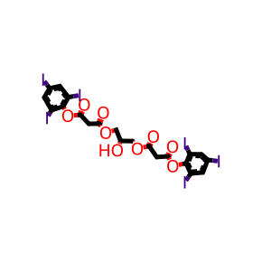 O=C(CC(=O)Oc1c(I)cc(I)cc1I)OCC(O)COC(=O)CC(=O)Oc1c(I)cc(I)cc1I